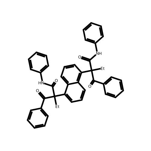 CCC(C(=O)Nc1ccccc1)(C(=O)c1ccccc1)c1cccc2c(C(CC)(C(=O)Nc3ccccc3)C(=O)c3ccccc3)cccc12